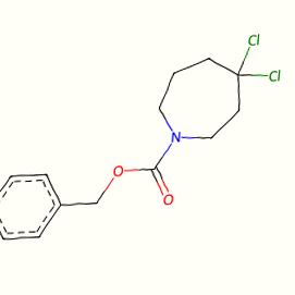 O=C(OCc1ccccc1)N1CCCC(Cl)(Cl)CC1